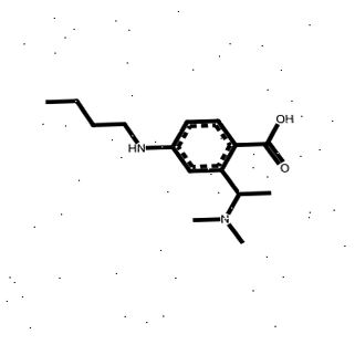 CCCCNc1ccc(C(=O)O)c(C(C)N(C)C)c1